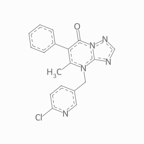 Cc1c(-c2ccccc2)c(=O)n2ncnc2n1Cc1ccc(Cl)nc1